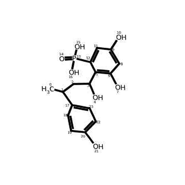 CC(CC(O)c1c(O)cc(O)cc1P(=O)(O)O)c1ccc(O)cc1